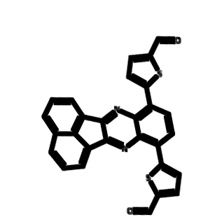 O=Cc1ccc(-c2ccc(-c3ccc(C=O)s3)c3nc4c(nc23)-c2cccc3cccc-4c23)s1